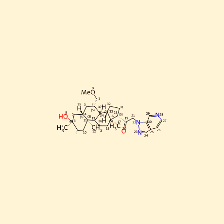 COC[C@H]1C[C@H]2C[C@](C)(O)CC[C@]2(C)C2CC[C@]3(C)[C@@H](C(=O)Cn4ncc5ccncc54)CC[C@H]3[C@@H]21